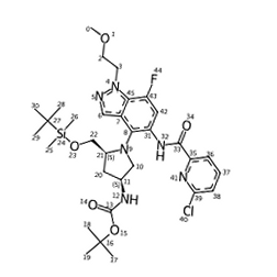 COCCn1ncc2c(N3C[C@@H](NC(=O)OC(C)(C)C)C[C@H]3CO[Si](C)(C)C(C)(C)C)c(NC(=O)c3cccc(Cl)n3)cc(F)c21